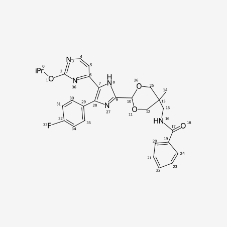 CC(C)Oc1nccc(-c2[nH]c(C3OCC(C)(CNC(=O)c4ccccc4)CO3)nc2-c2ccc(F)cc2)n1